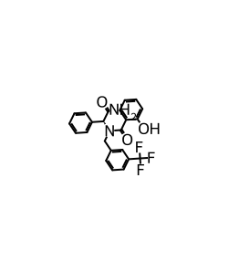 NC(=O)[C@@H](c1ccccc1)N(Cc1cccc(C(F)(F)F)c1)C(=O)c1ccccc1O